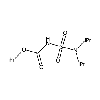 CC(C)OC(=O)NS(=O)(=O)N(C(C)C)C(C)C